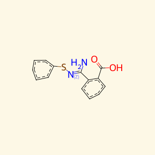 N/C(=N\Sc1ccccc1)c1ccccc1C(=O)O